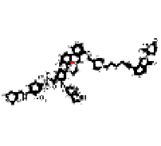 O=C1CCC(N2Cc3c(C#CCCCCN4CCC(COc5cccc(-c6ccc(Cl)cc6)c5CN5CCN(c6ccc(C(=O)NS(=O)(=O)c7ccc(NCC8CCOCC8)c([N+](=O)[O-])c7)c(Oc7cnc8[nH]ccc8c7)c6)CC5)CC4)cccc3C2=O)C(=O)N1